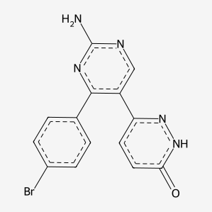 Nc1ncc(-c2ccc(=O)[nH]n2)c(-c2ccc(Br)cc2)n1